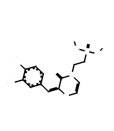 CCOP(=O)(CCN1C=CSC(=Cc2ccc(OC(C)=O)c(C(C)(C)C)c2)C1=O)OCC